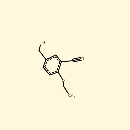 CCOc1ccc(CO)cc1C#N